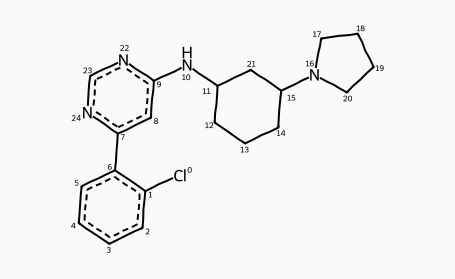 Clc1ccccc1-c1cc(NC2CCCC(N3CCCC3)C2)ncn1